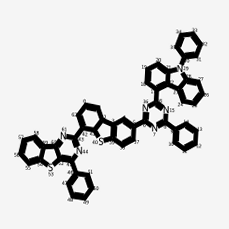 C1=CC2c3cc(-c4nc(-c5ccccc5)nc(-c5cccc6c5c5ccccc5n6-c5ccccc5)n4)ccc3SC2C(c2nc(-c3ccccc3)c3sc4ccccc4c3n2)=C1